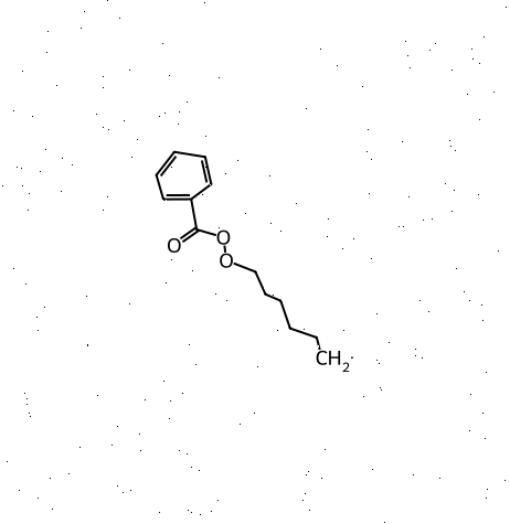 [CH2]CCCCCOOC(=O)c1ccccc1